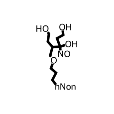 CCCCCCCCCCCCOCC(CCO)C(O)(CCO)N=O